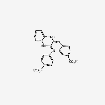 CCOC(=O)c1ccc(N=c2[nH]c3ccccc3[nH]c2=Nc2ccc(C(=O)OCC)cc2)cc1